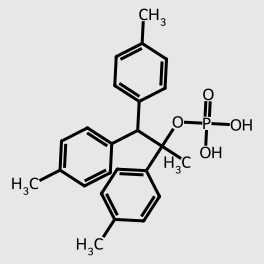 Cc1ccc(C(c2ccc(C)cc2)C(C)(OP(=O)(O)O)c2ccc(C)cc2)cc1